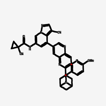 COc1ccc(CN2C3CC2CN(c2ccc4ncc(-c5cc(NC(=O)C6(C#N)CC6)cn6ncc(C#N)c56)cc4n2)C3)cn1